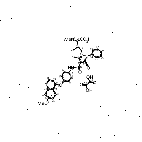 CNC(C(=O)O)C(C)Cn1c(C)c(C(=O)Nc2ccc(Oc3ccnc4cc(OC)ccc34)cn2)c(=O)n1-c1ccccc1.O=C(O)C(=O)O